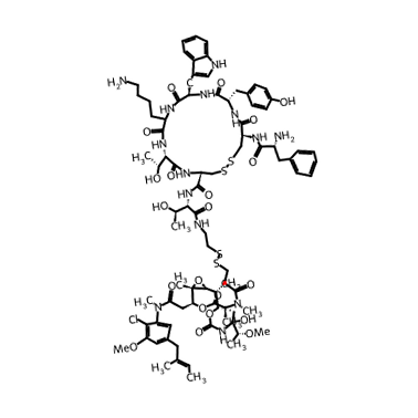 C/C=C(\C)Cc1cc(OC)c(Cl)c(N(C)C(=O)C[C@H](OC(=O)[C@H](C)N(C)C(=O)CCSSCCNC(=O)[C@@H](NC(=O)[C@@H]2CSSC[C@H](NC(=O)[C@H](N)Cc3ccccc3)C(=O)N[C@@H](Cc3ccc(O)cc3)C(=O)N[C@H](Cc3c[nH]c4ccccc34)C(=O)NC(CCCCN)C(=O)N[C@@H]([C@@H](C)O)C(=O)N2)[C@@H](C)O)[C@]2(C)O[C@H]2[C@H](C)[C@@H]2C[C@](O)([C@@H](C)OC)NC(=O)O2)c1